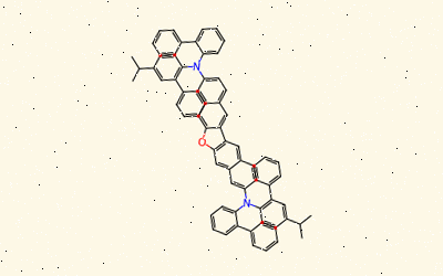 CC(C)c1ccc(N(c2ccc3cc4c(cc3c2)oc2cc3cc(N(c5ccccc5-c5ccccc5)c5ccc(C(C)C)cc5-c5ccccc5)ccc3cc24)c2ccccc2-c2ccccc2)c(-c2ccccc2)c1